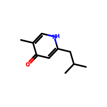 Cc1c[nH]c(CC(C)C)cc1=O